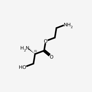 NCCOC(=O)[C@@H](N)CO